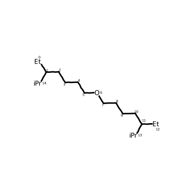 CCC(CCCCOCCCCC(CC)C(C)C)C(C)C